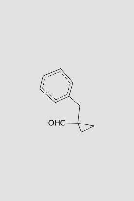 O=[C]C1(Cc2ccccc2)CC1